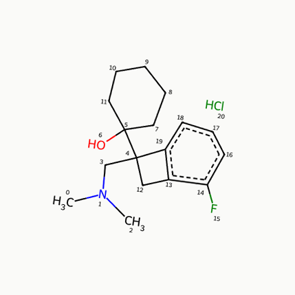 CN(C)CC1(C2(O)CCCCC2)Cc2c(F)cccc21.Cl